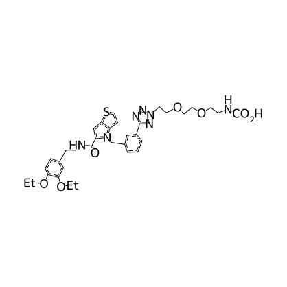 CCOc1ccc(CCNC(=O)c2cc3sccc3n2Cc2cccc(-c3nnn(CCOCCOCCNC(=O)O)n3)c2)cc1OCC